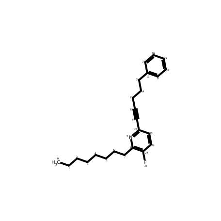 CCCCCCCCc1nc(C#CCCCc2ccccc2)ccc1F